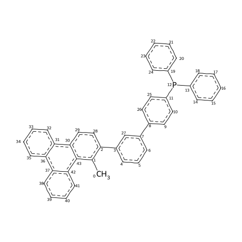 Cc1c(-c2cccc(-c3ccc(P(c4ccccc4)c4ccccc4)cc3)c2)ccc2c3ccccc3c3ccccc3c12